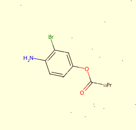 CCCC(=O)Oc1ccc(N)c(Br)c1